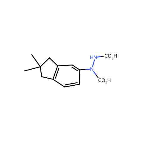 CC1(C)Cc2ccc(N(NC(=O)O)C(=O)O)cc2C1